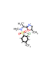 CC1CN=C([C@H](C)N(C)S(=O)(=O)c2ccc(C(F)(F)F)cc2Cl)O1